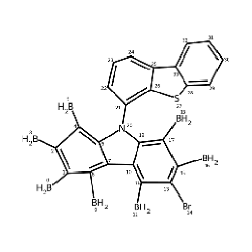 Bc1c(B)c(B)c2c(c1B)c1c(B)c(Br)c(B)c(B)c1n2-c1cccc2c1sc1ccccc12